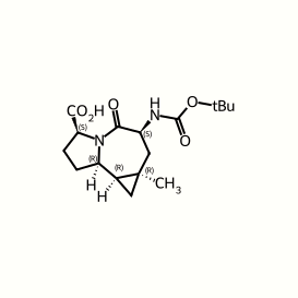 CC(C)(C)OC(=O)N[C@H]1C[C@@]2(C)C[C@H]2[C@H]2CC[C@@H](C(=O)O)N2C1=O